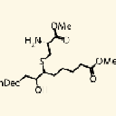 CCCCCCCCCCCC(O)C(CCCCC(=O)OC)SC[C@H](N)C(=O)OC